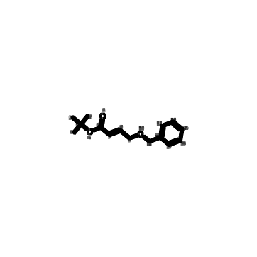 CC(C)(C)OC(=O)C=CCOCc1ccccc1